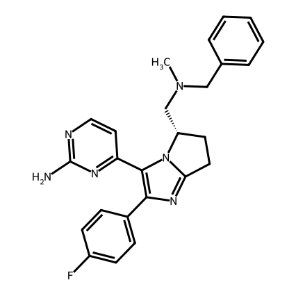 CN(Cc1ccccc1)C[C@@H]1CCc2nc(-c3ccc(F)cc3)c(-c3ccnc(N)n3)n21